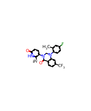 Cc1cc(F)ccc1N1CN(c2ccc(=O)[nH]c2C(C)C)C(=O)c2ccc(C(F)(F)F)cc21